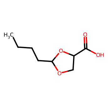 CCCC[C]1OCC(C(=O)O)O1